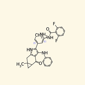 C/C=C(\C=C(/N)NC(=O)c1c(F)cccc1F)c1[nH]c2c(c1Nc1ccccc1)C(=O)C1CC1(C)C2